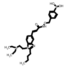 CCCCc1nc2cc(C=CC(=O)NOCc3ccc(B(O)O)cc3)ccc2n1CCN(CC)CC